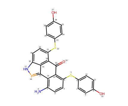 Nc1ccc(Sc2ccc(O)cc2)c2c1-c1p[nH]c3ccc(Sc4ccc(O)cc4)c(c13)C2=O